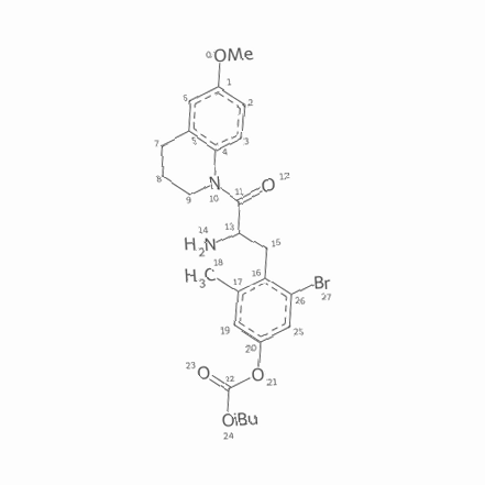 COc1ccc2c(c1)CCCN2C(=O)C(N)Cc1c(C)cc(OC(=O)OCC(C)C)cc1Br